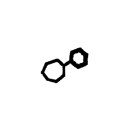 c1ccc(N2CCCOCC2)cc1